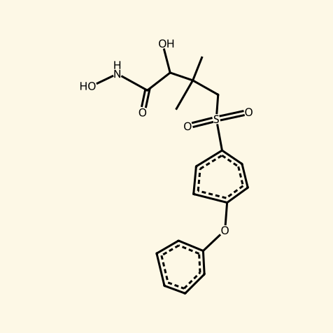 CC(C)(CS(=O)(=O)c1ccc(Oc2ccccc2)cc1)C(O)C(=O)NO